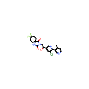 Cc1ccncc1-c1ncc(C(=O)CN2C(=O)NC3(CCC(F)(F)CC3)C2=O)cc1Cl